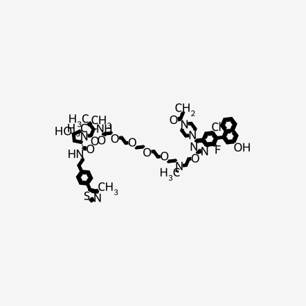 C=CC(=O)N1CCN(c2nc(OCCN(C)CCOCCOCCOCCOCC(=O)N[C@H](C(=O)N3C[C@@H](O)C[C@H]3C(=O)NCCc3ccc(-c4scnc4C)cc3)C(C)(C)C)nc3c(F)c(-c4cc(O)cc5ccccc45)c(Cl)cc23)CC1